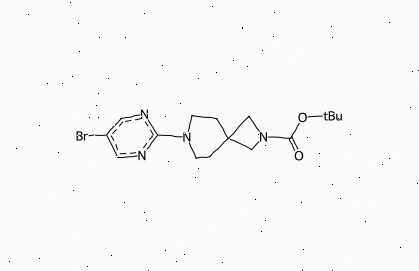 CC(C)(C)OC(=O)N1CC2(CCN(c3ncc(Br)cn3)CC2)C1